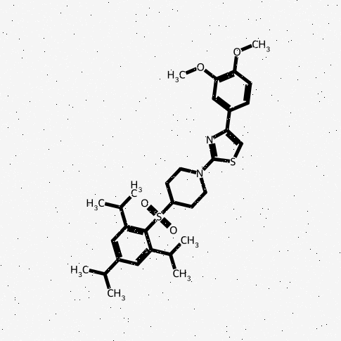 COc1ccc(-c2csc(N3CCC(S(=O)(=O)c4c(C(C)C)cc(C(C)C)cc4C(C)C)CC3)n2)cc1OC